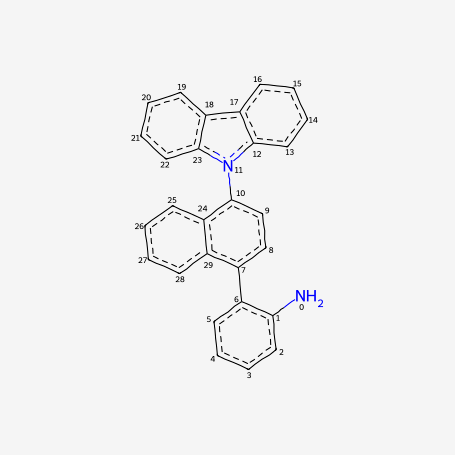 Nc1ccccc1-c1ccc(-n2c3ccccc3c3ccccc32)c2ccccc12